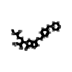 COC(=O)CCC(C(N)=O)N1Cc2c(OCc3ccc(CN4CCOCC4)cc3)csc2C1=O